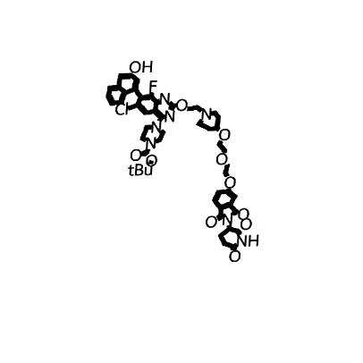 CC(C)(C)OC(=O)N1CCN(c2nc(OCCN3CCC(OCCOCCOc4ccc5c(c4)C(=O)N(C4CCC(=O)NC4=O)C5=O)CC3)nc3c(F)c(-c4cc(O)cc5ccccc45)c(Cl)cc23)CC1